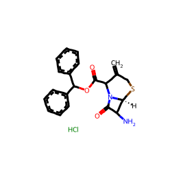 C=C1CS[C@H]2C(N)C(=O)N2C1C(=O)OC(c1ccccc1)c1ccccc1.Cl